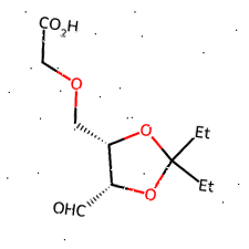 CCC1(CC)O[C@@H](COCC(=O)O)[C@@H](C=O)O1